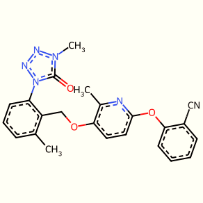 Cc1cccc(-n2nnn(C)c2=O)c1COc1ccc(Oc2ccccc2C#N)nc1C